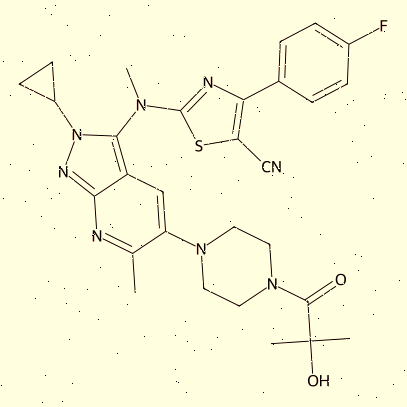 Cc1nc2nn(C3CC3)c(N(C)c3nc(-c4ccc(F)cc4)c(C#N)s3)c2cc1N1CCN(C(=O)C(C)(C)O)CC1